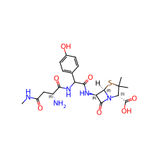 CNC(=O)C[C@@H](N)C(=O)NC(C(=O)N[C@@H]1C(=O)N2[C@@H]1SC(C)(C)[C@@H]2C(=O)O)c1ccc(O)cc1